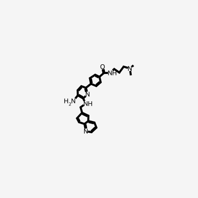 CN(C)CCCNC(=O)c1ccc(-c2ccc(N)c(NCc3ccc4ncccc4c3)n2)cc1